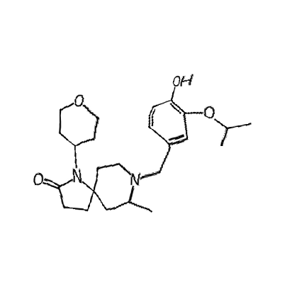 CC(C)Oc1cc(CN2CCC3(CCC(=O)N3C3CCOCC3)CC2C)ccc1O